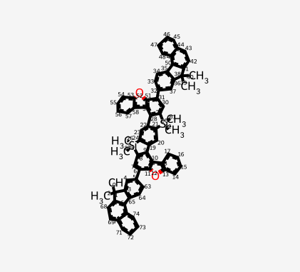 CC1(C)c2cc(-c3cc4c(c5c3oc3ccccc35)-c3cc5c(cc3[Si]4(C)C)-c3c(cc(-c4ccc6c(c4)C(C)(C)c4ccc7ccccc7c4-6)c4oc6ccccc6c34)[Si]5(C)C)ccc2-c2c1ccc1ccccc21